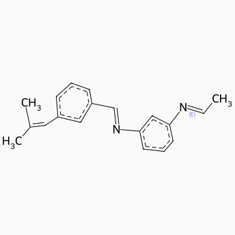 C/C=N/c1cccc(N=Cc2cccc(C=C(C)C)c2)c1